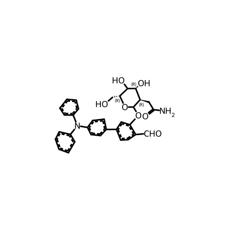 NC(=O)C[C@H]1C(Oc2cc(-c3ccc(N(c4ccccc4)c4ccccc4)cc3)ccc2C=O)O[C@H](CO)C(O)[C@@H]1O